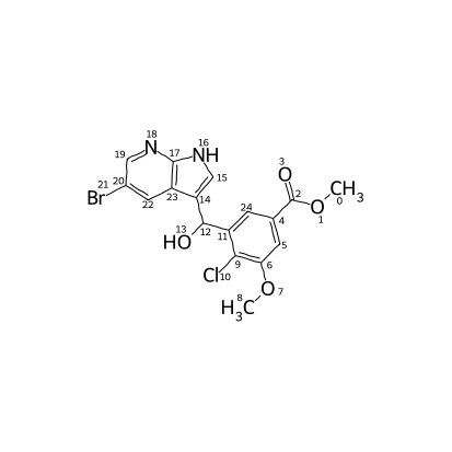 COC(=O)c1cc(OC)c(Cl)c(C(O)c2c[nH]c3ncc(Br)cc23)c1